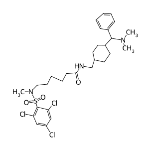 CN(C)C(c1ccccc1)C1CCC(CNC(=O)CCCCCN(C)S(=O)(=O)c2c(Cl)cc(Cl)cc2Cl)CC1